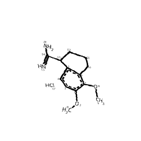 COc1ccc2c(c1OC)CCCC2C(=N)N.Cl